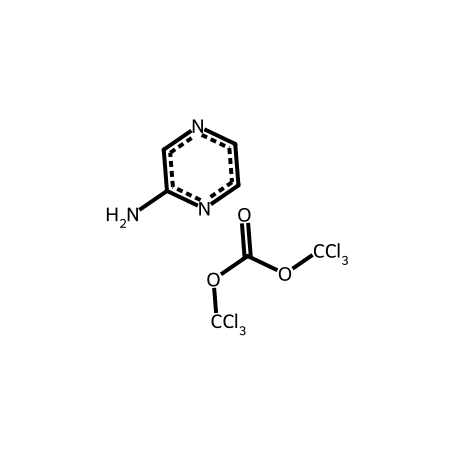 Nc1cnccn1.O=C(OC(Cl)(Cl)Cl)OC(Cl)(Cl)Cl